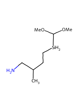 COC(OC)[SiH2]CCC(C)CN